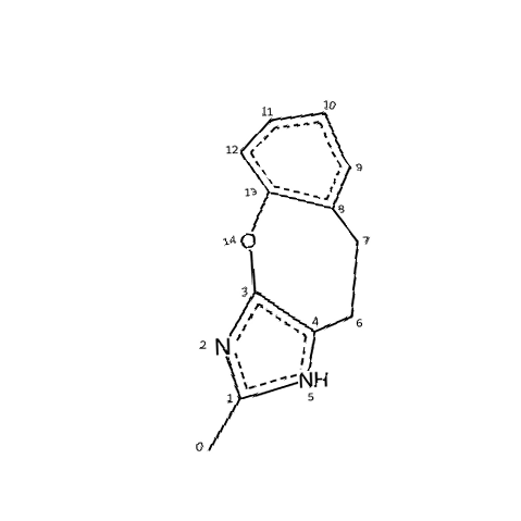 Cc1nc2c([nH]1)CCc1ccccc1O2